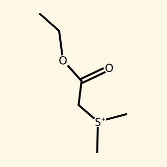 CCOC(=O)C[S+](C)C